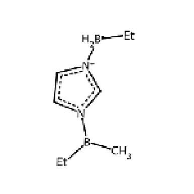 CC[BH2-][n+]1ccn(B(C)CC)c1